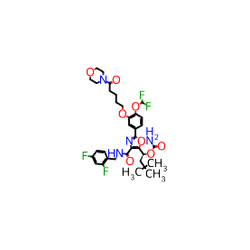 CC(C)(C)C[C@H](OC(N)=O)c1oc(-c2ccc(OC(F)F)c(OCCCCC(=O)N3CCOCC3)c2)nc1C(=O)NCc1ccc(F)cc1F